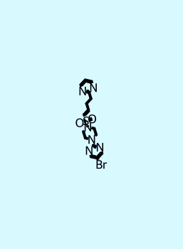 O=S(=O)(/C=C/CCc1ncccn1)N1CCN(c2ncc(Br)cn2)CC1